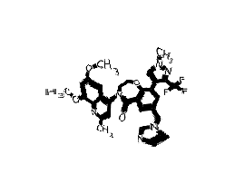 COc1cc(OC)c2nc(C)cc(N3CCOc4c(cc(Cn5ccnc5)cc4-c4cn(C)nc4C(F)(F)F)C3=O)c2c1